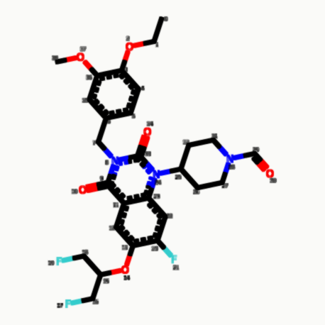 CCOc1ccc(Cn2c(=O)c3cc(OC(CF)CF)c(F)cc3n(C3CCN(C=O)CC3)c2=O)cc1OC